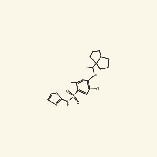 CC(Nc1cc(F)c(S(=O)(=O)Nc2nccs2)cc1Cl)C12CCCN1CCC2